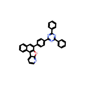 c1ccc(-c2nc(-c3ccccc3)nc(-c3ccc(-c4cc5ccccc5c5c4oc4ncccc45)cc3)n2)cc1